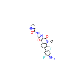 Cc1c(-c2cc(F)c(N)cc2F)ccc2c3oc(CNC(=O)C4(C)CCCN4)nc3c(=O)n(C3CC3)c12